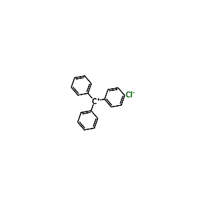 [Cl-].c1ccc([C+](c2ccccc2)c2ccccc2)cc1